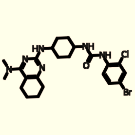 CN(C)c1nc(NC2CCC(NC(=O)Nc3ccc(Br)cc3Cl)CC2)nc2c1CCCC2